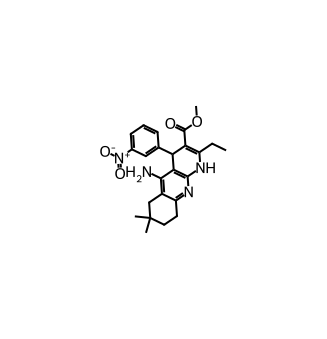 CCC1=C(C(=O)OC)C(c2cccc([N+](=O)[O-])c2)c2c(nc3c(c2N)CC(C)(C)CC3)N1